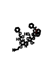 CO[C@H]1C(O[P@]2O[C@@H](C[Si](C)(c3ccccc3)c3ccccc3)[C@H]3CCCN32)[C@@H](CO)O[C@H]1n1cnc2c(OCCC#N)nc(NC(=O)COc3ccccc3)nc21